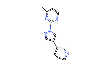 Cc1ccnc(-n2cc(-c3cccnc3)cn2)n1